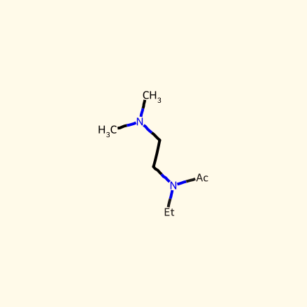 CCN(CCN(C)C)C(C)=O